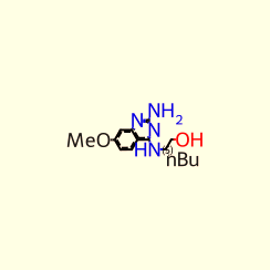 CCCC[C@@H](CO)Nc1nc(N)nc2cc(OC)ccc12